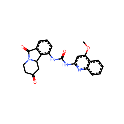 COc1cc(NC(=O)Nc2cccc3c2C2CC(=O)CCN2C3=O)nc2ccccc12